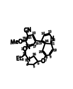 CCC(=O)N1CCC(Oc2ccc3nccc(-c4cnc(OC)c(C#N)c4)c3c2)C1